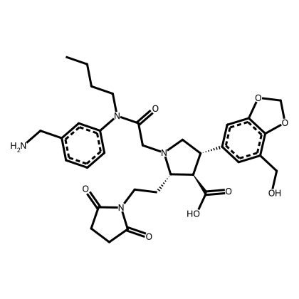 CCCCN(C(=O)CN1C[C@H](c2cc(CO)c3c(c2)OCO3)[C@@H](C(=O)O)[C@@H]1CCN1C(=O)CCC1=O)c1cccc(CN)c1